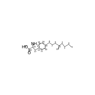 C=C(CCCC)CCCc1ccc(CC(N)C(=O)O)cc1